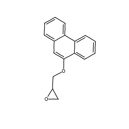 c1ccc2c(c1)cc(OCC1CO1)c1ccccc12